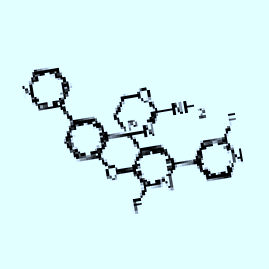 NC1=N[C@@]2(CCO1)c1cc(-c3cccnc3)ccc1Oc1c2cc(-c2ccnc(F)c2)nc1F